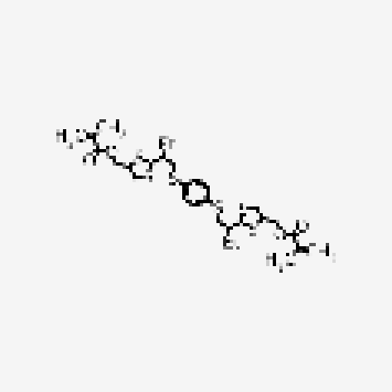 C=C(C)C(=O)OCC1CSC(C(CC)CSc2ccc(SCC(CC)C3SCC(COC(=O)C(=C)C)S3)cc2)S1